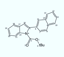 CC(C)(C)OC(=O)n1c(-c2ccc3ccccc3c2)cc2ccccc21